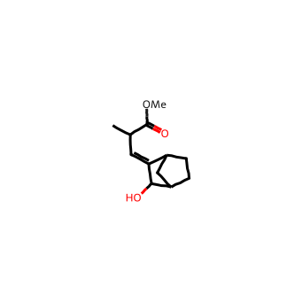 COC(=O)C(C)C=C1C2CCC(C2)C1O